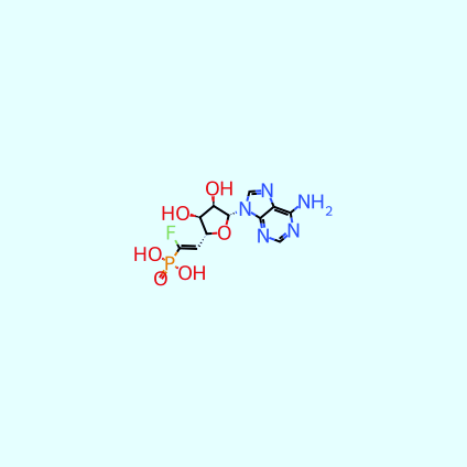 Nc1ncnc2c1ncn2[C@@H]1O[C@H](/C=C(\F)P(=O)(O)O)[C@@H](O)[C@H]1O